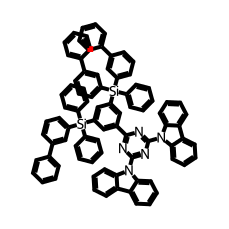 c1ccc(-c2cccc([Si](c3ccccc3)(c3ccccc3)c3cc(-c4nc(-n5c6ccccc6c6ccccc65)nc(-n5c6ccccc6c6ccccc65)n4)cc([Si](c4ccccc4)(c4cccc(-c5ccccc5)c4)c4cccc(-c5ccccc5)c4)c3)c2)cc1